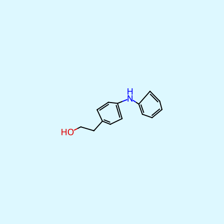 OCCc1ccc(Nc2ccccc2)cc1